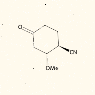 CO[C@@H]1CC(=O)CC[C@H]1C#N